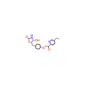 CCc1ccc(C(=O)COc2ccc(CC3SC(=O)NC3O)cc2)nc1